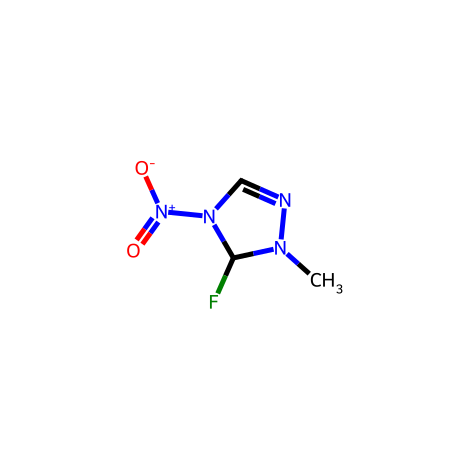 CN1N=CN([N+](=O)[O-])C1F